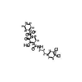 O=C(NCCCc1ccc(Cl)c(Cl)c1)c1ccn(S(=O)(=O)c2ccccc2)c(=O)c1O